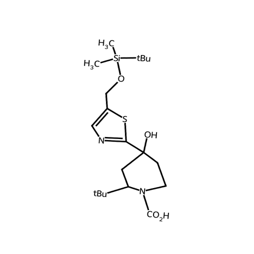 CC(C)(C)C1CC(O)(c2ncc(CO[Si](C)(C)C(C)(C)C)s2)CCN1C(=O)O